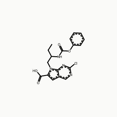 CCC(Cn1c(C(=O)O)cc2cnc(Cl)nc21)NC(=O)Oc1ccccc1